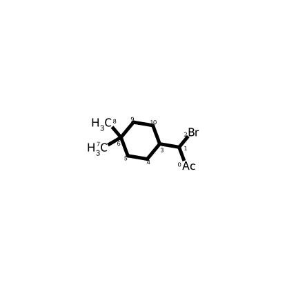 CC(=O)C(Br)C1CCC(C)(C)CC1